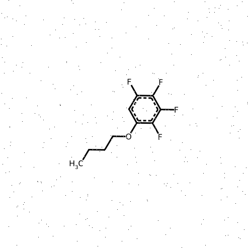 CCCCOc1cc(F)c(F)c(F)c1F